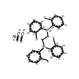 Cc1ccccc1P(CCP(c1ccccc1C)c1ccccc1C)c1ccccc1C.[C]=O.[C]=O.[Ni]